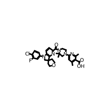 Cc1cc(N2CCN(C(=O)c3ccc4c(n3)C3(CCOCC3)CN4c3ccc(Cl)c(F)c3)C(C)(C)C2)nc(C)c1C(=O)O